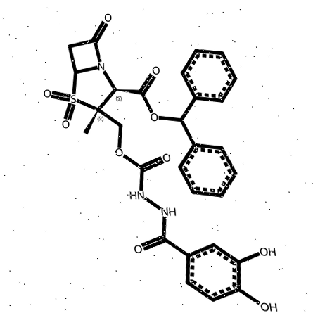 C[C@]1(COC(=O)NNC(=O)c2ccc(O)c(O)c2)[C@H](C(=O)OC(c2ccccc2)c2ccccc2)N2C(=O)CC2S1(=O)=O